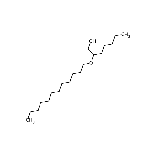 CCCCCCCCCCCCOC(CO)CCCCC